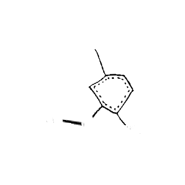 Cc1ccc([N+](=O)[O-])c(OC=O)c1